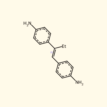 CC/C(=C\c1ccc(N)cc1)c1ccc(N)cc1